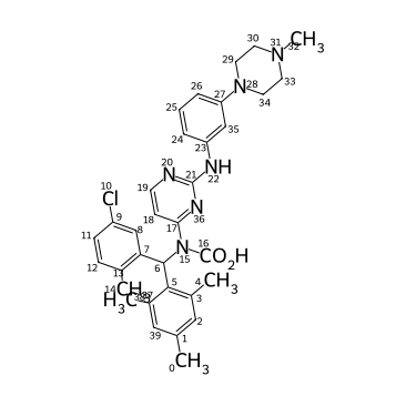 Cc1cc(C)c(C(c2cc(Cl)ccc2C)N(C(=O)O)c2ccnc(Nc3cccc(N4CCN(C)CC4)c3)n2)c(C)c1